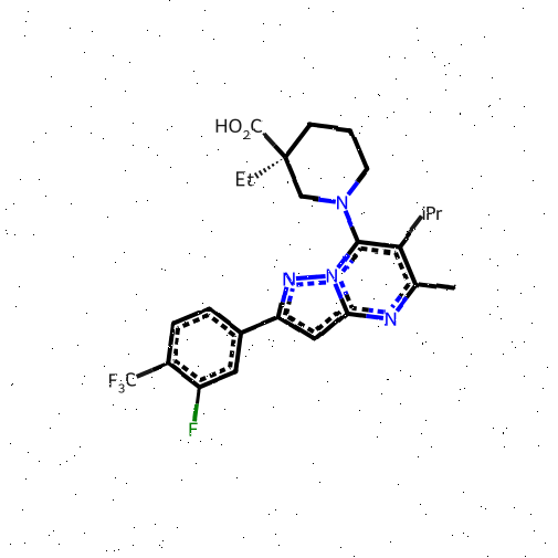 CC[C@]1(C(=O)O)CCCN(c2c(C(C)C)c(C)nc3cc(-c4ccc(C(F)(F)F)c(F)c4)nn23)C1